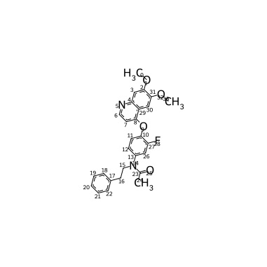 COc1cc2nccc(Oc3ccc(N(CCc4ccccc4)C(C)=O)cc3F)c2cc1OC